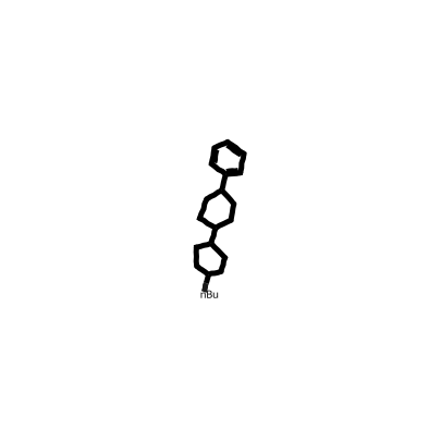 CCCCC1CCC(C2CCC(c3ccccc3)CC2)CC1